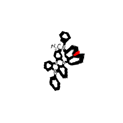 CC1(N(c2ccccc2)c2ccccc2)C=CC2=C(C1)N(c1ccccc1)c1cccc3c1B2c1ccccc1N3C1=CCCC=C1